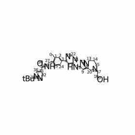 Cc1cc(-c2cc(Nc3cc4n(n3)CCCN(CCO)C4)ncn2)ccc1CNC(=O)c1cnn(C(C)(C)C)c1